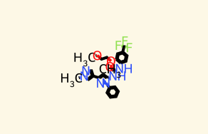 COCCOc1cc(C(F)(F)F)ccc1NC(=O)Nc1c(C)c(-c2cnn(C)c2)nn1-c1ccccc1